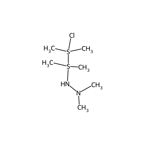 CN(C)NS(C)(C)S(C)(C)Cl